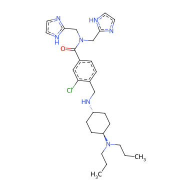 CCCN(CCC)[C@H]1CC[C@H](NCc2ccc(C(=O)N(Cc3ncc[nH]3)Cc3ncc[nH]3)cc2Cl)CC1